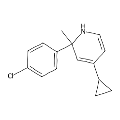 CC1(c2ccc(Cl)cc2)C=C(C2CC2)C=CN1